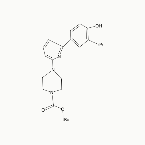 CC(C)c1cc(-c2cccc(N3CCN(C(=O)OC(C)(C)C)CC3)n2)ccc1O